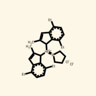 CCc1ccc(CC)c2c1C=C(C)[CH]2[Hf+2]([CH]1C(C)=Cc2c(CC)ccc(CC)c21)=[Si]1CCCC1.[Cl-].[Cl-]